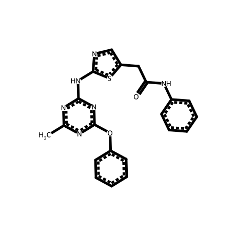 Cc1nc(Nc2ncc(CC(=O)Nc3ccccc3)s2)nc(Oc2ccccc2)n1